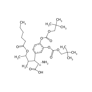 CCCCCC(=O)OC(C)C(C)C(c1ccc(OC(=O)OCC(C)(C)C)c(OC(=O)OCC(C)(C)C)c1)[C@H](N)C(=O)O